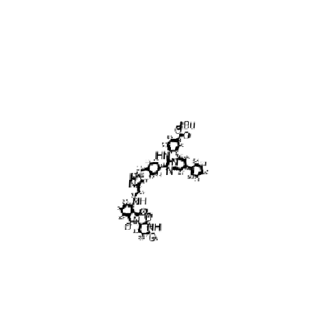 CC(C)(C)OC(=O)c1ccc(Nc2c(-c3ccc(Cn4cc(CCNc5cccc6c5C(=O)N(C5CCC(=O)NC5=O)C6=O)nn4)cc3)nc3cc(-c4ccccc4)ccn23)cc1